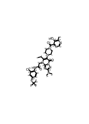 CCc1c(N2CCN(C(=O)c3ncnc(C)c3O)CC2)c(=O)n2nc(N(C)C)nc2n1CC(=O)Nc1ccc(SC(F)(F)F)cc1Cl